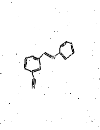 N#Cc1cccc(C=Nc2ccccc2)c1